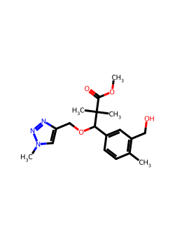 COC(=O)C(C)(C)C(OCc1cn(C)nn1)c1ccc(C)c(CO)c1